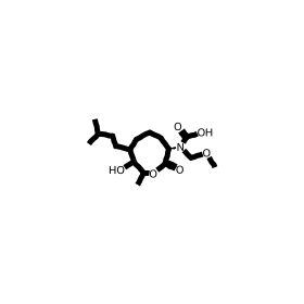 COCN(C(=O)O)[C@H]1CCCC(CCC(C)C)C(O)C(C)OC1=O